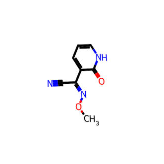 CON=C(C#N)c1ccc[nH]c1=O